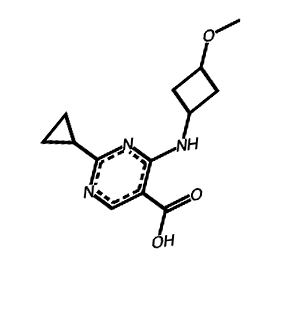 COC1CC(Nc2nc(C3CC3)ncc2C(=O)O)C1